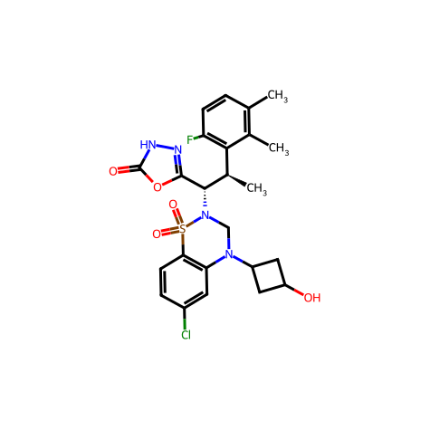 Cc1ccc(F)c([C@@H](C)[C@@H](c2n[nH]c(=O)o2)N2CN(C3CC(O)C3)c3cc(Cl)ccc3S2(=O)=O)c1C